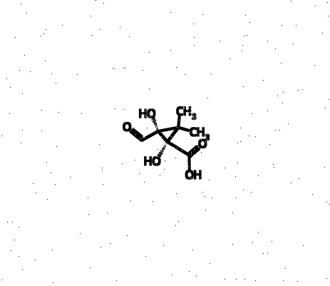 CC1(C)[C@](O)(C=O)[C@]1(O)C(=O)O